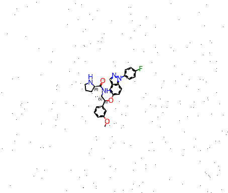 COc1cccc([C@H](Oc2ccc3c(cnn3-c3ccc(F)cc3)c2)[C@H](C)NC(=O)[C@H]2CCCN2)c1